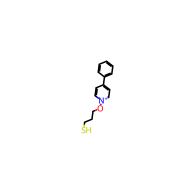 SCCCO[n+]1ccc(-c2ccccc2)cc1